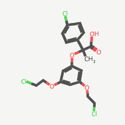 CC(Oc1cc(OCCCl)cc(OCCCl)c1)(C(=O)O)c1ccc(Cl)cc1